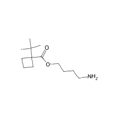 CC(C)(C)C1(C(=O)OCCCCN)CCC1